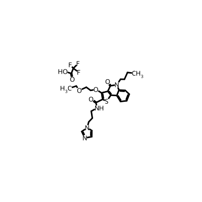 CCCCn1c(=O)c2c(OCCOCC)c(C(=O)NCCCn3ccnc3)sc2c2ccccc21.O=C(O)C(F)(F)F